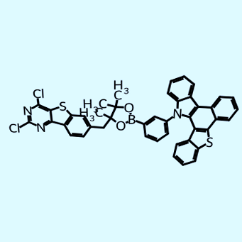 CC1(C)OB(c2cccc(-n3c4ccccc4c4c5ccccc5c5sc6ccccc6c5c43)c2)OC1(C)Cc1ccc2c(c1)sc1c(Cl)nc(Cl)nc12